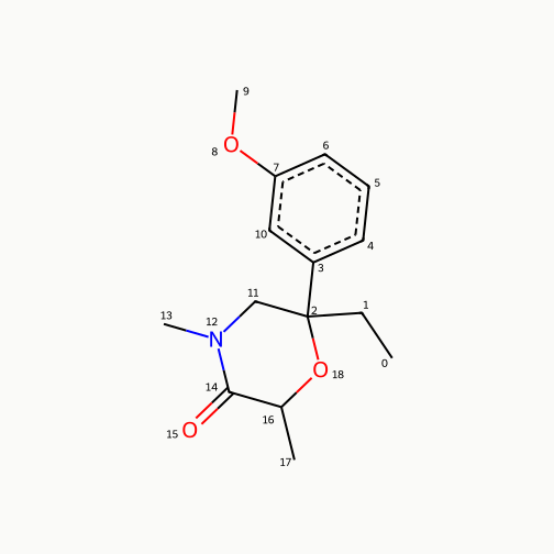 CCC1(c2cccc(OC)c2)CN(C)C(=O)C(C)O1